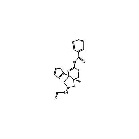 O=CBN1C[C@H]2CSC(NC(=O)c3ccccc3)=N[C@@]2(c2cccs2)C1